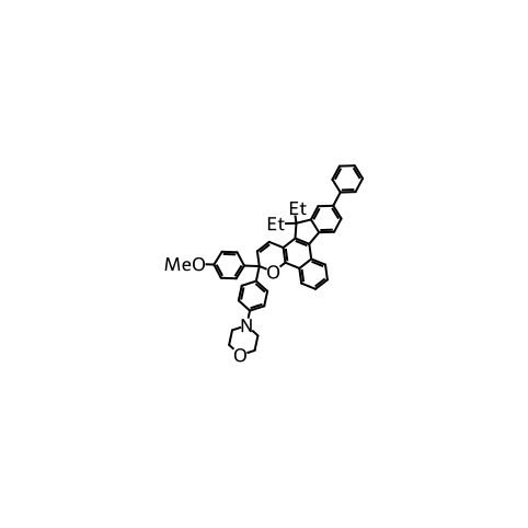 CCC1(CC)c2cc(-c3ccccc3)ccc2-c2c1c1c(c3ccccc23)OC(c2ccc(OC)cc2)(c2ccc(N3CCOCC3)cc2)C=C1